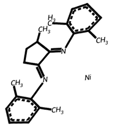 Cc1cccc(C)c1N=C1CCC(C)C1=Nc1c(C)cccc1C.[Ni]